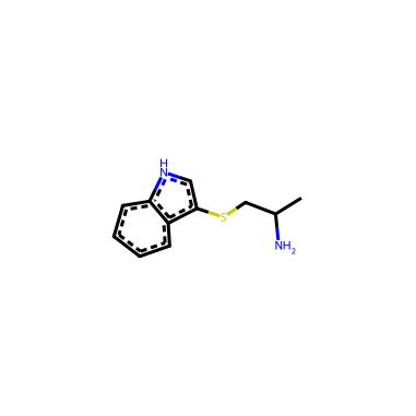 CC(N)CSc1c[nH]c2ccccc12